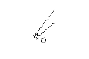 CCCCCCCCCCCCCN1C=CN(Cc2ccccc2)C1CCCCCCCCC